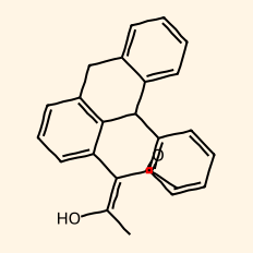 CC(=O)C(=C(C)O)c1cccc2c1C(c1ccccc1)c1ccccc1C2